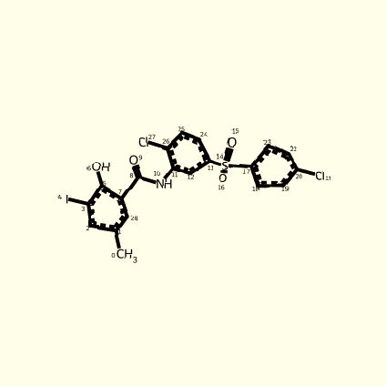 Cc1cc(I)c(O)c(C(=O)Nc2cc(S(=O)(=O)c3ccc(Cl)cc3)ccc2Cl)c1